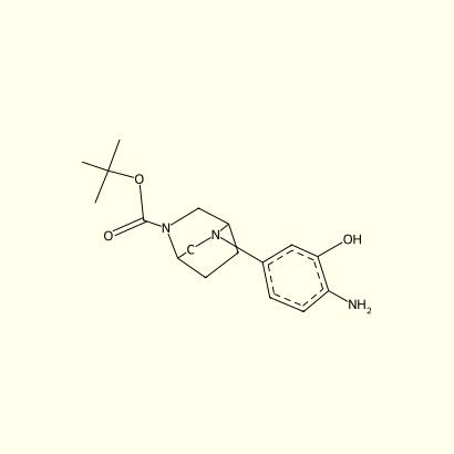 CC(C)(C)OC(=O)N1CC2CCC1CN2c1ccc(N)c(O)c1